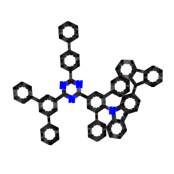 c1ccc(-c2ccc(-c3nc(-c4cc(-c5ccccc5)cc(-c5ccccc5)c4)nc(-c4cc(-c5ccccc5)c(-n5c6ccccc6c6ccc(C7c8ccccc8-c8ccccc87)cc65)c(-c5ccccc5)c4)n3)cc2)cc1